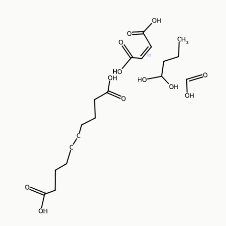 CCCC(O)O.O=C(O)/C=C\C(=O)O.O=C(O)CCCCCCCCC(=O)O.O=CO